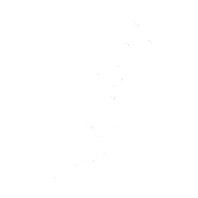 N=C(N)Nc1cccc(C(=O)NCC(=O)NC(CC(=O)O)c2cc3ccccc3o2)c1